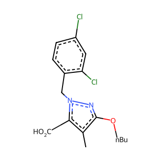 CCCCOc1nn(Cc2ccc(Cl)cc2Cl)c(C(=O)O)c1C